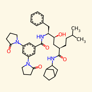 CC(C)CC[C@H](C[C@H](O)[C@H](Cc1ccccc1)NC(=O)c1cc(N2CCCC2=O)cc(N2CCCC2=O)c1)C(=O)NC1CC2CCC1C2